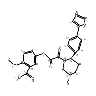 COc1ncc(NC(=O)C(=O)N2C[C@@H](C)CC[C@@H]2c2ccc(-c3cncs3)cc2)cc1C(N)=O